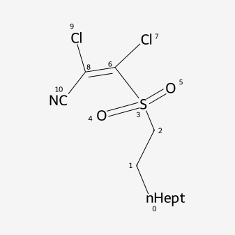 CCCCCCCCCS(=O)(=O)/C(Cl)=C(/Cl)C#N